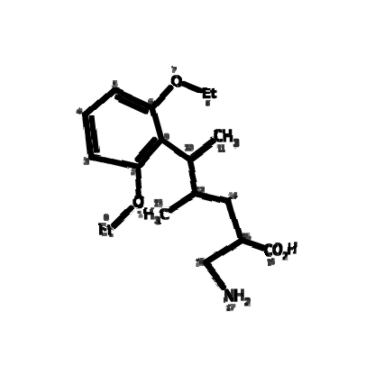 CCOc1cccc(OCC)c1C(C)C(C)CC(CN)C(=O)O